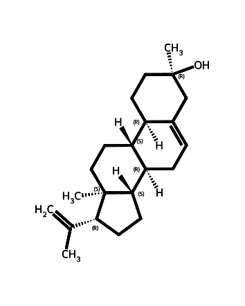 C=C(C)[C@H]1CC[C@H]2[C@@H]3CC=C4C[C@](C)(O)CC[C@@H]4[C@H]3CC[C@]12C